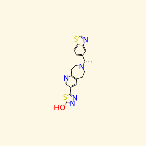 C[C@@H](c1ccc2scnc2c1)N1CCc2cc(-c3nnc(O)s3)cnc2CC1